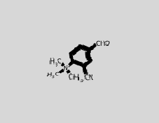 C[N+](C)(C)c1ccc(C=O)cc1C#N